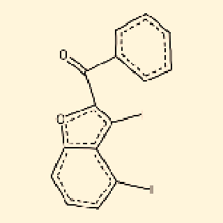 O=C(c1ccccc1)c1oc2cccc(I)c2c1I